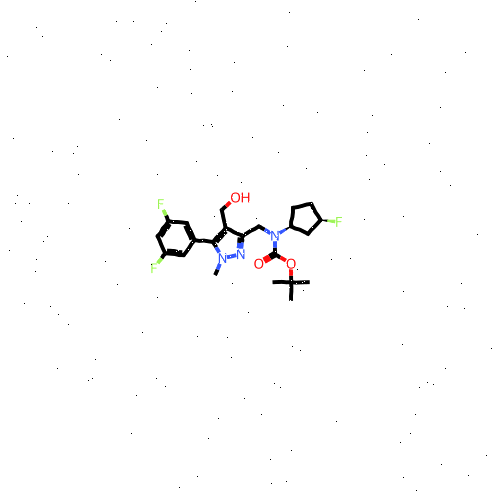 Cn1nc(CN(C(=O)OC(C)(C)C)[C@H]2CC[C@@H](F)C2)c(CO)c1-c1cc(F)cc(F)c1